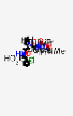 CCC(C)C(C(CC(=O)N1[C@H](C(OC)C(C)C(=O)NC(Cc2ccccc2Cl)C(=O)O)C[C@@H]2C[C@@H]21)OC)N(C)C(=O)C(NC(=O)C(NC)C(C)C)C(C)C